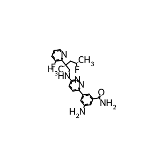 C[C@H](F)C[C@@](C)(CNc1ccc(-c2cc(N)cc(C(N)=O)c2)nn1)c1ncccc1F